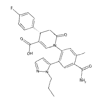 CCCn1nccc1-c1cc(C(N)=O)c(C)cc1N1C=C(C(=O)O)[C@H](c2ccc(F)cc2)CC1=O